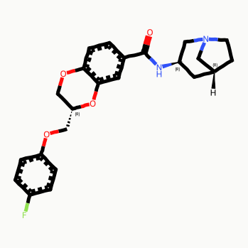 O=C(N[C@@H]1C[C@H]2CCN(C2)C1)c1ccc2c(c1)O[C@H](COc1ccc(F)cc1)CO2